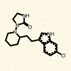 O=C1NCCN1N1CCCCC1CCc1c[nH]c2cc(Cl)ccc12